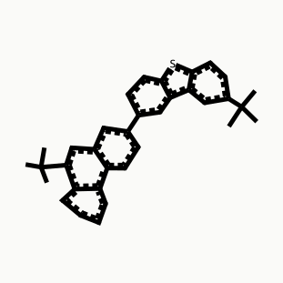 CC(C)(C)c1ccc2sc3ccc(-c4ccc5c(c4)cc(C(C)(C)C)c4ccccc45)cc3c2c1